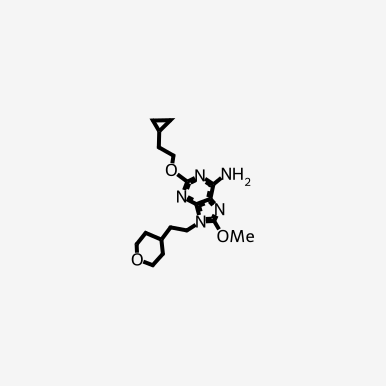 COc1nc2c(N)nc(OCCC3CC3)nc2n1CCC1CCOCC1